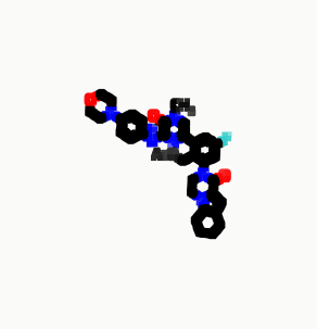 CC(=O)OCc1c(-c2cn(C)c(=O)c(Nc3ccc(N4CCOCC4)cc3)n2)cc(F)cc1N1CCn2c(cc3c2CCCC3)C1=O